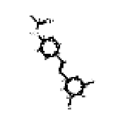 CC(=O)Oc1ccc(C=Cc2cc(C)cc(C)c2)cc1